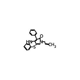 C=CCn1cc2c(c(-c3ccccc3)c1=O)Nc1ccccc1S2